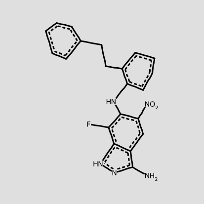 Nc1n[nH]c2c(F)c(Nc3ccccc3CCc3ccccc3)c([N+](=O)[O-])cc12